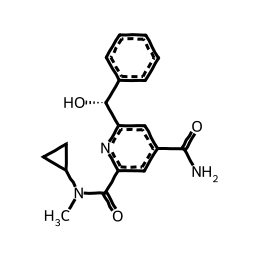 CN(C(=O)c1cc(C(N)=O)cc([C@H](O)c2ccccc2)n1)C1CC1